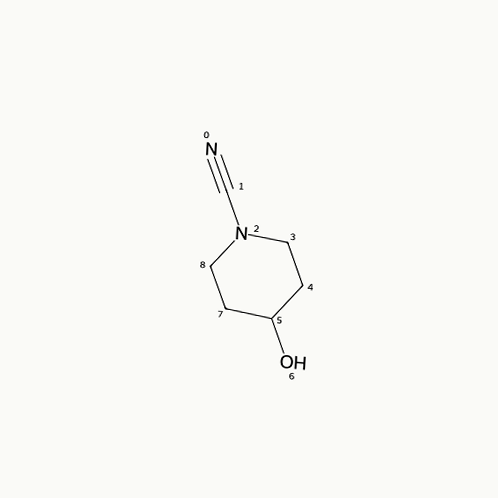 N#CN1CCC(O)CC1